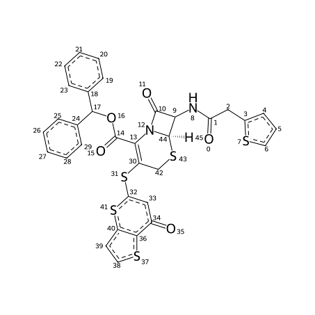 O=C(Cc1cccs1)NC1C(=O)N2C(C(=O)OC(c3ccccc3)c3ccccc3)=C(Sc3cc(=O)c4sccc4s3)CS[C@H]12